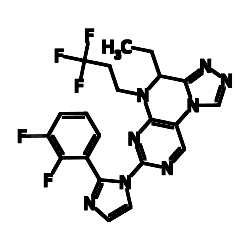 CCC1c2nncn2-c2cnc(-n3ccnc3-c3cccc(F)c3F)nc2N1CCC(F)(F)F